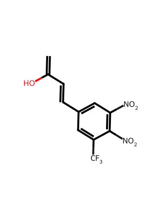 C=C(O)/C=C/c1cc([N+](=O)[O-])c([N+](=O)[O-])c(C(F)(F)F)c1